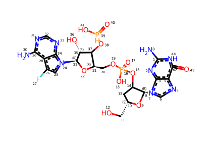 Nc1nc2c(ncn2[C@@H]2O[C@H](CO)CC2OP(=O)(O)OC[C@H]2O[C@@H](n3cc(F)c4c(N)ncnc43)[C@H](O)C2O[PH](=O)O)c(=O)[nH]1